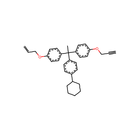 C#CCOc1ccc(C(C)(c2ccc(OCC=C)cc2)c2ccc(C3CCCCC3)cc2)cc1